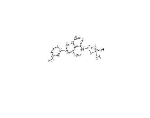 CNc1nc(-c2cccc(C#N)c2)nc(OC)c1C(=O)NOCC(C)(C)O